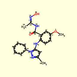 COc1ccc(Nc2cc(C)nn2-c2ccccc2)c(C(=O)N/C(C)=N\O)c1